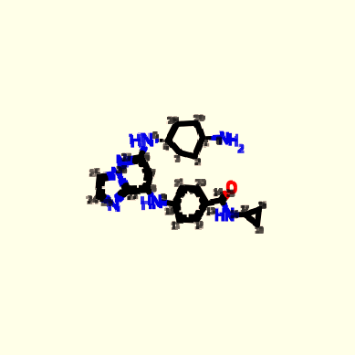 N[C@H]1CC[C@H](Nc2cc(Nc3ccc(C(=O)NC4CC4)cc3)c3nccn3n2)CC1